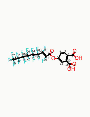 O=C(Oc1ccc(C(=O)O)c(C(=O)O)c1)C(F)=C(F)C(F)(F)C(F)(F)C(F)(F)C(F)(F)C(F)(F)C(F)(F)F